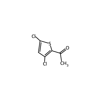 CC(=O)c1sc(Cl)cc1Cl